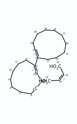 C1=C(/C2=N\NCCCCCCCC2)CCCCCCCCC/1.O=C(O)/C=C\C(=O)O